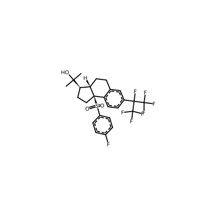 CC(C)(O)[C@@H]1CC[C@@]2(S(=O)(=O)c3ccc(F)cc3)c3ccc(C(F)(C(F)(F)F)C(F)(F)F)cc3CC[C@@H]12